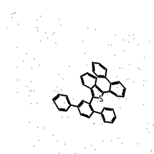 c1ccc(-c2ccc(-c3ccccc3)c(-c3sc(-c4ccccc4-c4ccccc4)c4ccccc34)c2)cc1